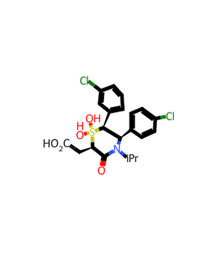 CC(C)N1C(=O)[C@@H](CC(=O)O)S(O)(O)[C@@H](c2cccc(Cl)c2)[C@H]1c1ccc(Cl)cc1